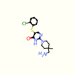 CC1(CN)CCN(c2ncc(Sc3ccccc3Cl)c(=O)[nH]2)CC1